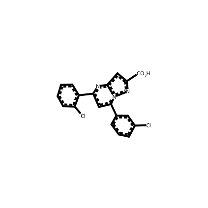 O=C(O)c1cc2nc(-c3ccccc3Cl)cc(-c3cccc(Cl)c3)n2n1